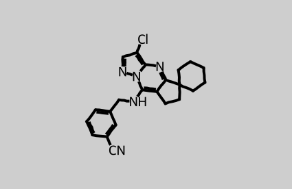 N#Cc1cccc(CNc2c3c(nc4c(Cl)cnn24)C2(CCCCC2)CC3)c1